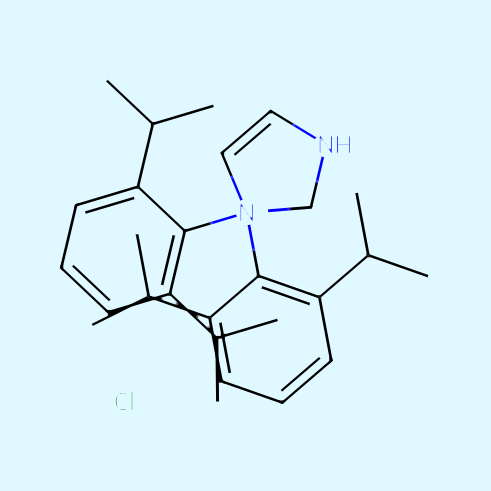 CC(C)c1cccc(C(C)C)c1[N+]1(c2c(C(C)C)cccc2C(C)C)C=CNC1.[Cl-]